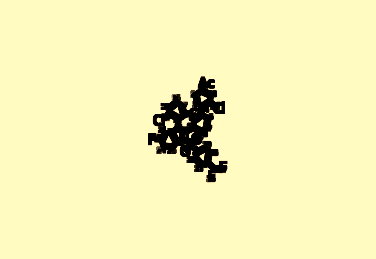 CC(=O)c1ccc(-c2cccc(-c3c(-c4c(Cl)cccc4Cl)c4cc(F)ccc4n3S(=O)(=O)c3ccc(C(F)F)cc3)c2)c(Cl)c1